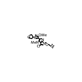 CNc1c(-c2cn(C3CCOCC3)nc2OC)cnc2c1c(Cl)cn2COCC[Si](C)(C)C